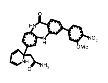 COc1cc(-c2ccc3c(c2)Nc2cc(C4(CC(N)=O)C=CC=CN4)ccc2NC3=O)ccc1[N+](=O)[O-]